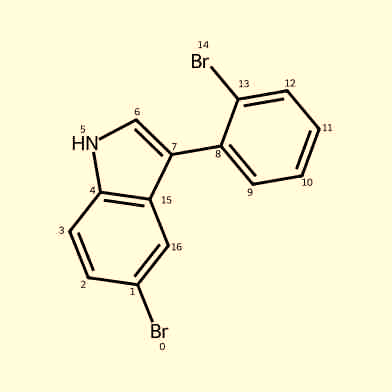 Brc1ccc2[nH]cc(-c3ccccc3Br)c2c1